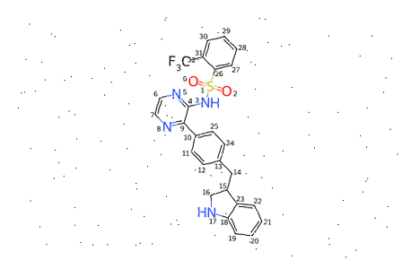 O=S(=O)(Nc1nccnc1-c1ccc(CC2CNc3ccccc32)cc1)c1ccccc1C(F)(F)F